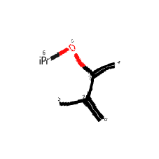 C=C(C)C(=C)OC(C)C